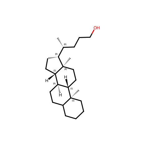 C[C@H](CCCO)[C@H]1CC[C@H]2[C@@H]3CCC4CCCC[C@]4(C)[C@H]3CC[C@]12C